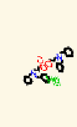 Cl.Cl.O=C(OCCCN(Cc1ccccc1)Cc1ccccc1)OCCCN(Cc1ccccc1)Cc1ccccc1